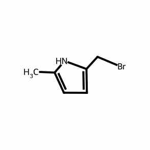 Cc1ccc(CBr)[nH]1